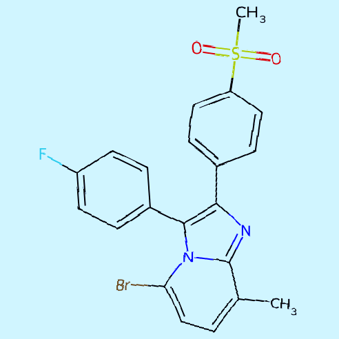 Cc1ccc(Br)n2c(-c3ccc(F)cc3)c(-c3ccc(S(C)(=O)=O)cc3)nc12